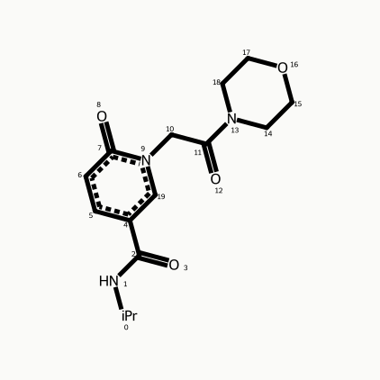 CC(C)NC(=O)c1ccc(=O)n(CC(=O)N2CCOCC2)c1